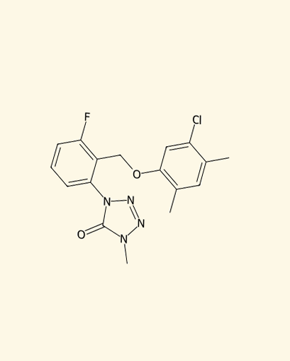 Cc1cc(C)c(OCc2c(F)cccc2-n2nnn(C)c2=O)cc1Cl